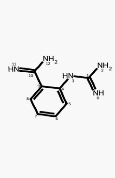 N=C(N)Nc1ccccc1C(=N)N